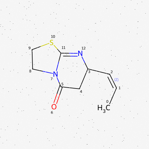 C/C=C\C1CC(=O)N2CCSC2=N1